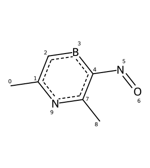 Cc1cbc(N=O)c(C)n1